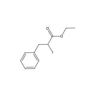 CCOC(=O)C(I)Cc1ccccc1